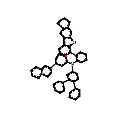 c1ccc(-c2ccc(N(c3cccc(-c4ccc5ccccc5c4)c3)c3ccccc3-c3cccc4c3oc3cc5ccccc5cc34)cc2-c2ccccc2)cc1